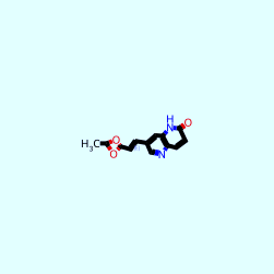 CC1OC(/C=C/c2cnc3ccc(=O)[nH]c3c2)O1